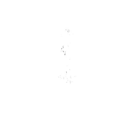 CC(C)(C)[Si](C)(C)OCC1CCC(n2cc3cc(N)ccc3n2)CC1